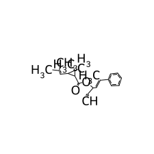 C#CC(C=C(C)c1ccccc1)OC(=O)C1C(C=C(C)C)C1(C)C